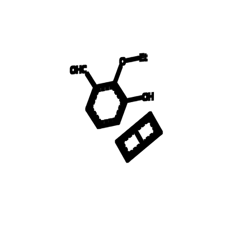 CCOc1c(O)cccc1C=O.c1cc2ccc1-2